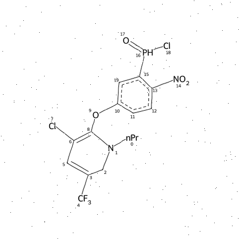 CCCN1CC(C(F)(F)F)=CC(Cl)=C1Oc1ccc([N+](=O)[O-])c([PH](=O)Cl)c1